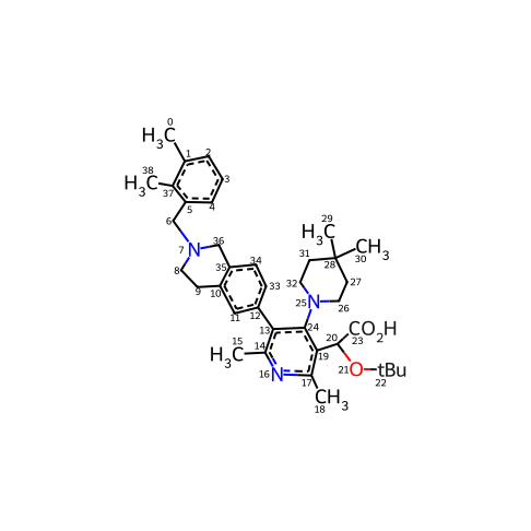 Cc1cccc(CN2CCc3cc(-c4c(C)nc(C)c(C(OC(C)(C)C)C(=O)O)c4N4CCC(C)(C)CC4)ccc3C2)c1C